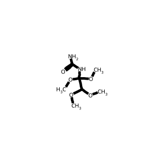 COC(OC)C(NC(N)=O)(OC)OC